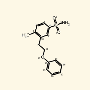 Cc1ccc(S(N)(=O)=O)cc1CCOc1ccccc1